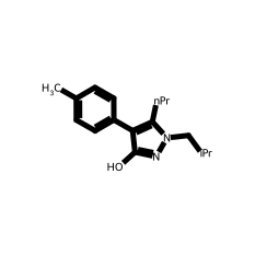 CCCc1c(-c2ccc(C)cc2)c(O)nn1CC(C)C